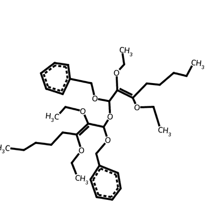 CCCCCC(OCC)=C(OCC)C(OCc1ccccc1)OC(OCc1ccccc1)C(OCC)=C(CCCCC)OCC